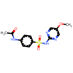 COc1cnc(NS(=O)(=O)c2ccc(NC(C)=O)cc2)nc1